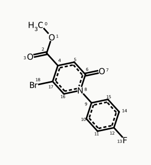 COC(=O)c1cc(=O)n(-c2ccc(F)cc2)cc1Br